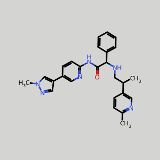 Cc1ccc(C(C)CNC(C(=O)Nc2ccc(-c3cnn(C)c3)cn2)c2ccccc2)cn1